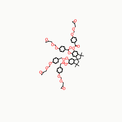 CC1(C)CC2(CC(C)(C)c3cc(OC(=O)c4ccc(OCOCC5CO5)cc4)c(OC(=O)c4ccc(OCOCC5CO5)cc4)cc32)c2cc(OOCc3ccc(OCOCC4CO4)cc3)c(OOCc3ccc(OCOCC4CO4)cc3)cc21